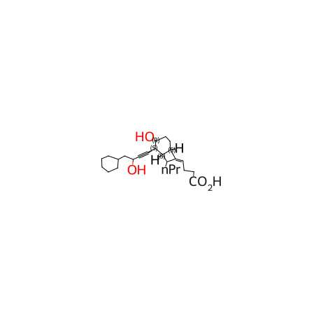 CCCC1C(=CCCC(=O)O)[C@H]2CC[C@@H](O)[C@H](C#CC(O)CC3CCCCC3)[C@@H]12